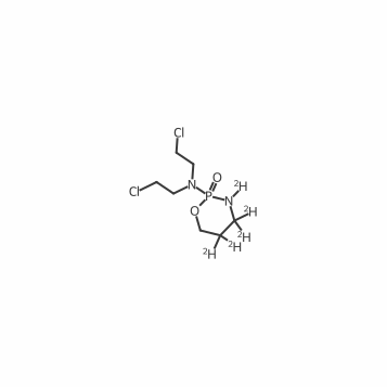 [2H]N1C([2H])([2H])C([2H])([2H])COP1(=O)N(CCCl)CCCl